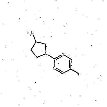 NC1CCN(c2ncc(F)cn2)C1